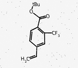 C=Cc1ccc(C(=O)OC(C)(C)C)c(C(F)(F)F)c1